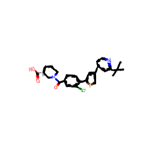 CC(C)(C)c1cc(-c2csc(-c3ccc(C(=O)N4CCC[C@@H](C(=O)O)C4)cc3Cl)c2)ccn1